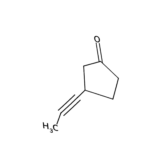 CC#CC1CCC(=O)C1